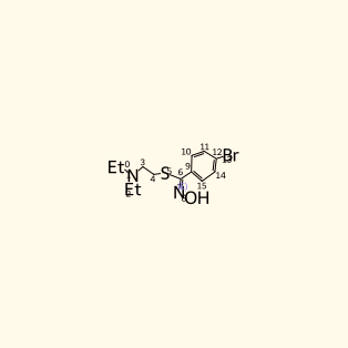 CCN(CC)CCS/C(=N/O)c1ccc(Br)cc1